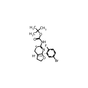 CC(C)(C)OC(=O)NC1=N[C@@]2(c3cc(Br)ccc3F)OCC[C@H]2CS1